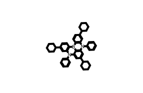 c1ccc(N2c3cc(C4CCCCC4)ccc3B3c4ccc(C5CCCCC5)cc4N(c4ccccc4)c4cc(C5CCCCC5)cc2c43)cc1